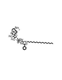 CCCCCCCCCCCCCCCCCCOC[C@H](COP(=O)(O)OC[C@H]1O[C@@](C#N)(c2ccc3c(N)ccnn23)[C@H](O)[C@@H]1O)NC(=O)c1ccccc1